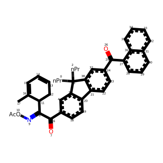 CCCC1(CCC)c2cc(C(=O)/C(=N/OC(C)=O)C3CC=CC=C3C)ccc2-c2ccc(C(=O)c3cccc4ccccc34)cc21